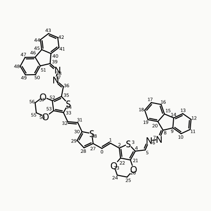 C(=C\c1sc(/C=N/N=C2c3ccccc3-c3ccccc32)c2c1OCCO2)/c1ccc(/C=C/c2sc(/C=N/N=C3c4ccccc4-c4ccccc43)c3c2OCCO3)s1